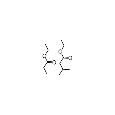 CCOC(=O)CC.CCOC(=O)CC(C)C